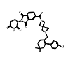 CC1(C)CCC(CN2CC3(C2)CN(C(=O)c2ccc4c(c2)C(=O)N(C2CCC(=O)NC2=O)C4=O)C3)=C(c2ccc(Cl)cc2)C1